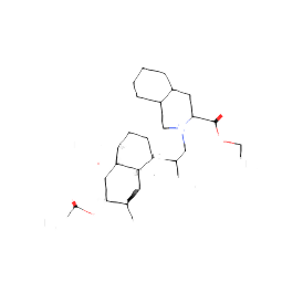 CCOC(=O)C1CC2CCCCC2CN1CC(C)[C@@H]1CC[C@@H](C)[C@]2(O)[CH][C@@H](OC(C)=O)C(C)=C[C@H]12